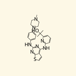 CN1CCN(c2ccc(Nc3nc(Nc4cccc(C(C)(C)O)n4)c4ccsc4n3)cc2)CC1